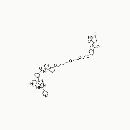 C[C@@H](NC(=O)c1cccc(NC2(c3nnc(-c4ccncc4)[nH]3)CCNCC2)c1)c1cccc(OCCCCCOCCCOCCOc2ccc3c(c2)CN(C2CCC(=O)NC2=O)C3=O)c1